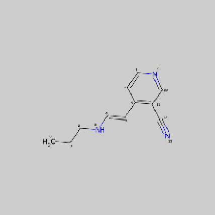 CCCN/C=C/c1ccncc1C#N